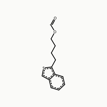 O=[C]OCCCCc1scc2ccccc12